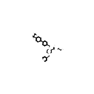 CC(O)(c1ccc(-c2ccc(CN3CCN(Cc4ccncc4)CC3C(=O)OCCN)cc2)cc1)C(F)(F)F